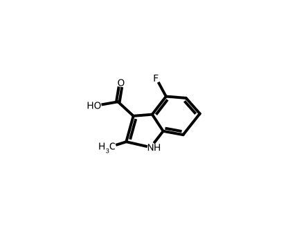 Cc1[nH]c2cccc(F)c2c1C(=O)O